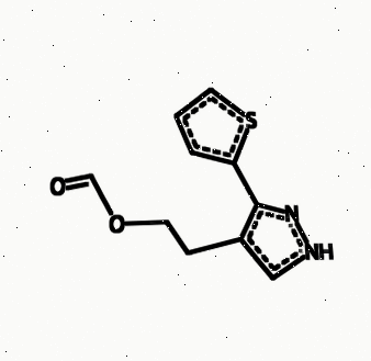 O=COCCc1c[nH]nc1-c1cccs1